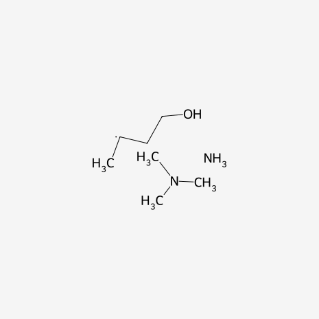 CN(C)C.C[CH]CCO.N